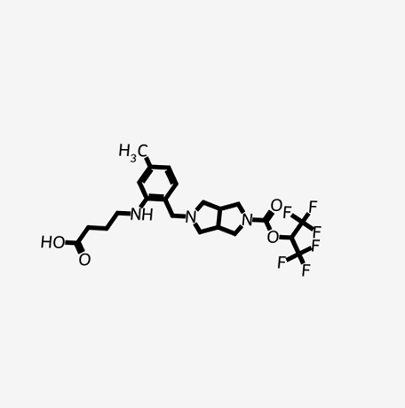 Cc1ccc(CN2CC3CN(C(=O)OC(C(F)(F)F)C(F)(F)F)CC3C2)c(NCCCC(=O)O)c1